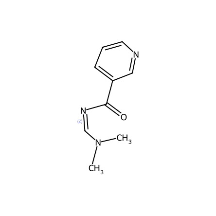 CN(C)/C=N\C(=O)c1cccnc1